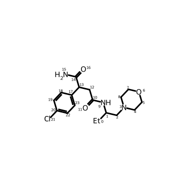 CCC(CN1CCOCC1)NC(=O)CC(C(N)=O)c1ccc(Cl)cc1